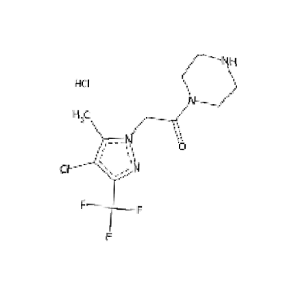 Cc1c(Cl)c(C(F)(F)F)nn1CC(=O)N1CCNCC1.Cl